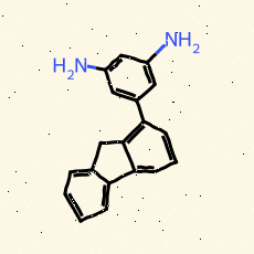 Nc1cc(N)cc(-c2cccc3c2Cc2ccccc2-3)c1